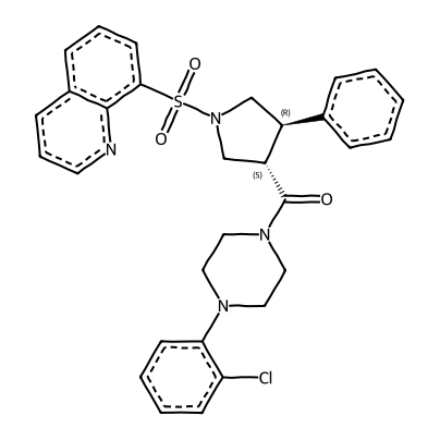 O=C([C@@H]1CN(S(=O)(=O)c2cccc3cccnc23)C[C@H]1c1ccccc1)N1CCN(c2ccccc2Cl)CC1